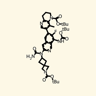 Cc1c(-c2cc3cc(N(C(N)=O)C4CC5(C4)CN(C(=O)OC(C)(C)C)C5)ncc3c(NC(=O)OC(C)(C)C)c2F)cnc2c1N(C(=O)OC(C)(C)C)CCC2